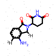 [2H]c1ccc2c(c1N)C([2H])N(C1CCC(=O)NC1=O)C2=O